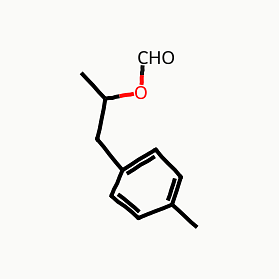 Cc1ccc(CC(C)OC=O)cc1